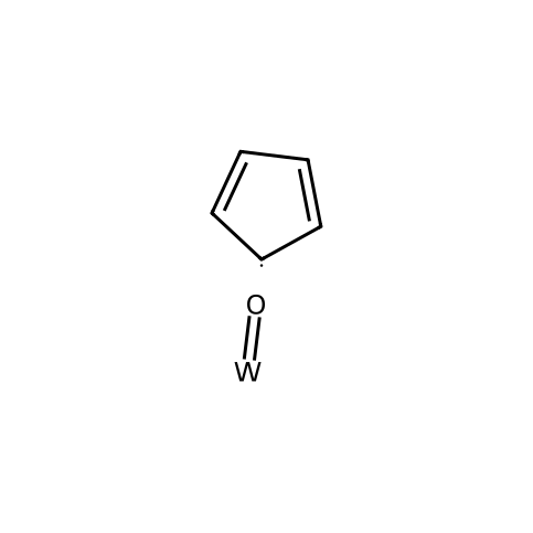 [CH]1C=CC=C1.[O]=[W]